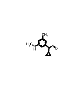 CNc1cc(C)cc(C(N=O)C2CC2)c1